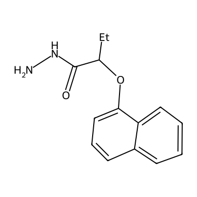 CCC(Oc1cccc2ccccc12)C(=O)NN